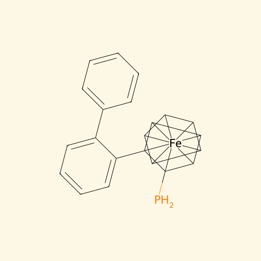 P[C]12[CH]3[CH]4[CH]5[C]1(c1ccccc1-c1ccccc1)[Fe]43521678[CH]2[CH]1[CH]6[CH]7[CH]28